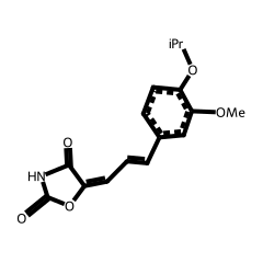 COc1cc(C=CC=C2OC(=O)NC2=O)ccc1OC(C)C